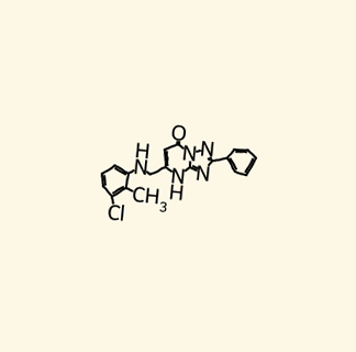 Cc1c(Cl)cccc1NCc1cc(=O)n2nc(-c3ccccc3)nc2[nH]1